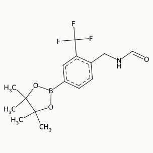 CC1(C)OB(c2ccc(CNC=O)c(C(F)(F)F)c2)OC1(C)C